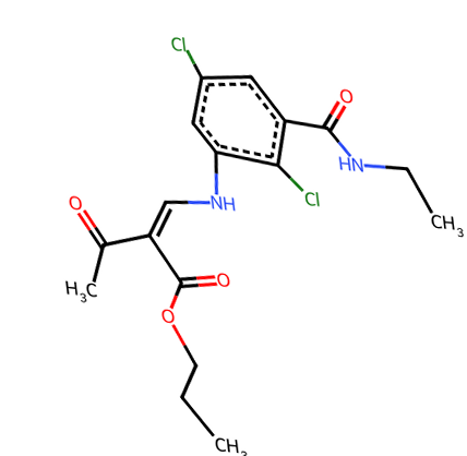 CCCOC(=O)C(=CNc1cc(Cl)cc(C(=O)NCC)c1Cl)C(C)=O